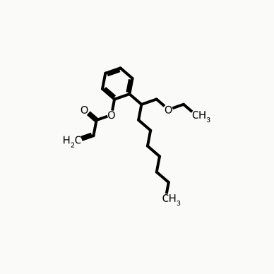 C=CC(=O)Oc1ccccc1C(CCCCCCC)COCC